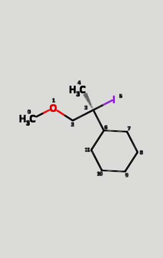 COC[C@@](C)(I)C1CCCCC1